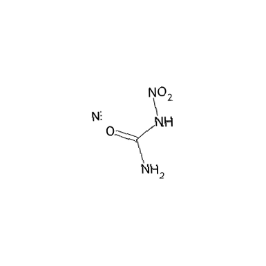 NC(=O)N[N+](=O)[O-].[N]